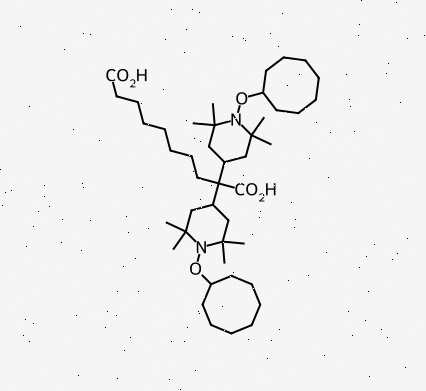 CC1(C)CC(C(CCCCCCCC(=O)O)(C(=O)O)C2CC(C)(C)N(OC3CCCCCCC3)C(C)(C)C2)CC(C)(C)N1OC1CCCCCCC1